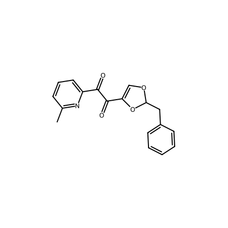 Cc1cccc(C(=O)C(=O)C2=COC(Cc3ccccc3)O2)n1